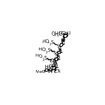 COc1ccc2c(c1)nc1c(C#N)c(C)c(N=Nc3cc(C)c(N=Nc4cc(C)c(N=Nc5cc(C)c(N=Nc6ccc(Cl)c(OC=O)c6)cc5SCCCS(=O)(=O)O)cc4SCCCS(=O)(=O)O)cc3OCCCS(=O)(=O)O)c(O)n12